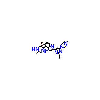 C#Cc1nc(-c2ccc3c(ccc4sc5c(c43)NC[C@@H](C)NC5)n2)cc(N2CCN(C)CC2)n1